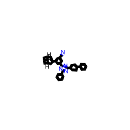 N#Cc1cc(-c2nc(-c3ccccc3)nc(-c3ccc(-c4ccccc4)cc3)n2)cc(C23C[C@H]4CC5C[C@@H](C2)[C@@]54C3)c1